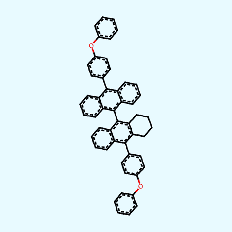 c1ccc(Oc2ccc(-c3c4c(c(-c5c6ccccc6c(-c6ccc(Oc7ccccc7)cc6)c6ccccc56)c5ccccc35)CCCC4)cc2)cc1